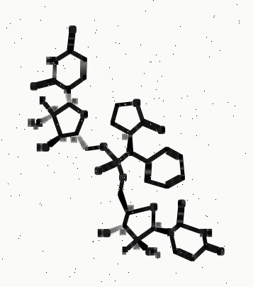 C[C@@]1(F)[C@H](O)[C@@H](COP(=O)(OC[C@H]2O[C@@H](n3ccc(=O)[nH]c3=O)[C@](C)(F)[C@@H]2O)N(c2ccccc2)[C@H]2CCOC2=O)O[C@H]1n1ccc(=O)[nH]c1=O